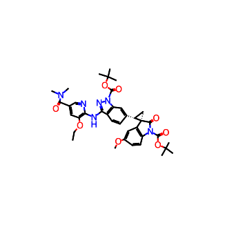 CCOc1cc(C(=O)N(C)C)cnc1Nc1nn(C(=O)OC(C)(C)C)c2cc([C@@H]3C[C@@]34C(=O)N(C(=O)OC(C)(C)C)c3ccc(OC)cc34)ccc12